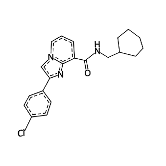 O=C(NCC1CCCCC1)c1cccn2cc(-c3ccc(Cl)cc3)nc12